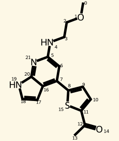 COCCNc1cc(-c2ccc(C(C)=O)s2)c2cc[nH]c2n1